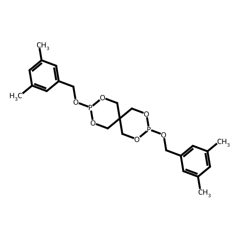 Cc1cc(C)cc(COP2OCC3(CO2)COP(OCc2cc(C)cc(C)c2)OC3)c1